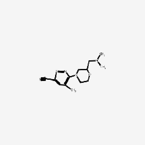 Cc1cc(C#N)nnc1N1CCOC(CN(C)C)C1